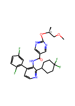 COC[C@H](C)Oc1ncc(C(=O)Nc2c(-c3cc(F)ccc3F)ccnc2C2CCC(F)(F)CC2)cn1